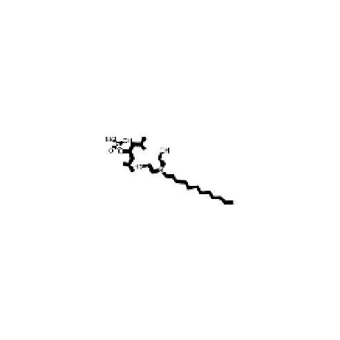 CC(C)CC(CC(C)C)OP(=O)(O)O.CCCCCCCCCCCCN(CCO)CCO